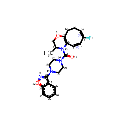 CC1COC2=C(/C=C\C(F)=C/CC2)N1C(=O)N1CCN(c2noc3ccccc23)CC1